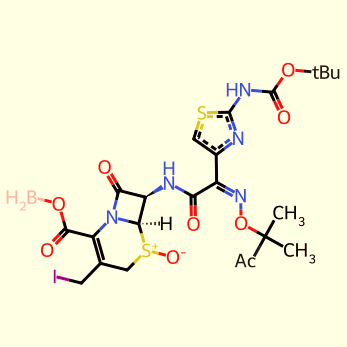 BOC(=O)C1=C(CI)C[S+]([O-])[C@@H]2[C@H](NC(=O)/C(=N\OC(C)(C)C(C)=O)c3csc(NC(=O)OC(C)(C)C)n3)C(=O)N12